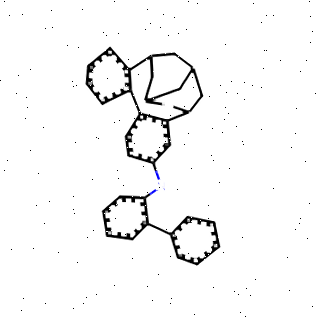 c1ccc(-c2ccccc2Nc2ccc3c(c2)C2CC4CC(CC(C4)c4ccccc4-3)C2)cc1